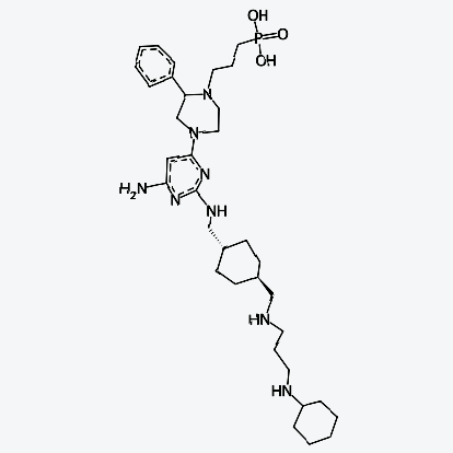 Nc1cc(N2CCN(CCCP(=O)(O)O)C(c3ccccc3)C2)nc(NC[C@H]2CC[C@H](CNCCCNC3CCCCC3)CC2)n1